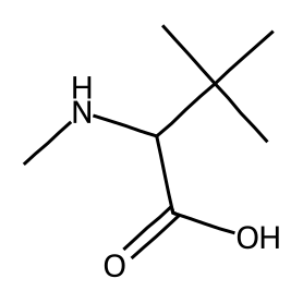 CNC(C(=O)O)C(C)(C)C